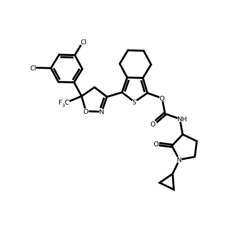 O=C(NC1CCN(C2CC2)C1=O)Oc1sc(C2=NOC(c3cc(Cl)cc(Cl)c3)(C(F)(F)F)C2)c2c1CCCC2